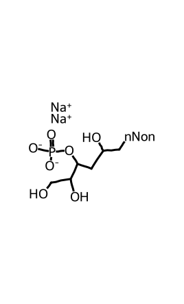 CCCCCCCCCCC(O)CC(OP(=O)([O-])[O-])C(O)CO.[Na+].[Na+]